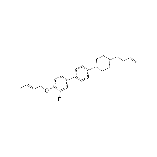 C=CCCC1CCC(c2ccc(-c3ccc(OC/C=C/C)c(F)c3)cc2)CC1